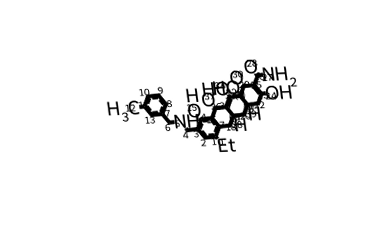 CCc1cc(CNCc2cccc(C)c2)c(O)c2c1C[C@H]1C[C@H]3CC(O)=C(C(N)=O)C(=O)[C@@]3(O)C(O)=C1C2=O